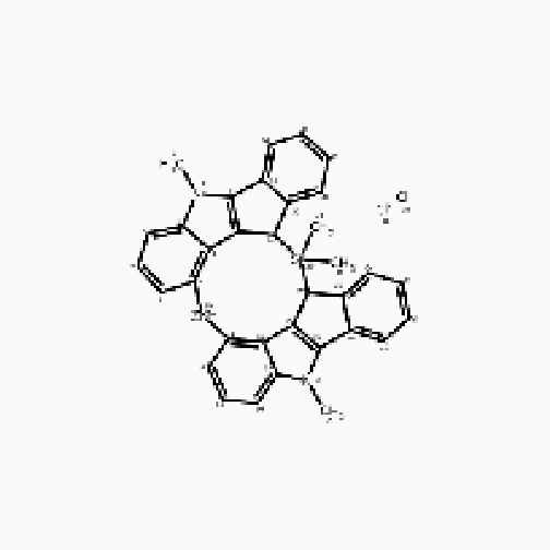 Cn1c2c3c4[c](cccc41)[Zr+2][c]1cccc4c1c1c(n4C)-c4ccccc4C1[Si](C)(C)C3c1ccccc1-2.[Cl-].[Cl-]